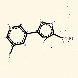 CCOC(=O)c1nnc(-c2cncc(F)c2)s1